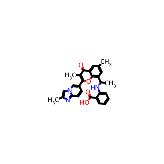 Cc1cc(C(C)Nc2ccccc2C(=O)O)c2oc(-c3ccc4nc(C)cn4c3)c(C)c(=O)c2c1